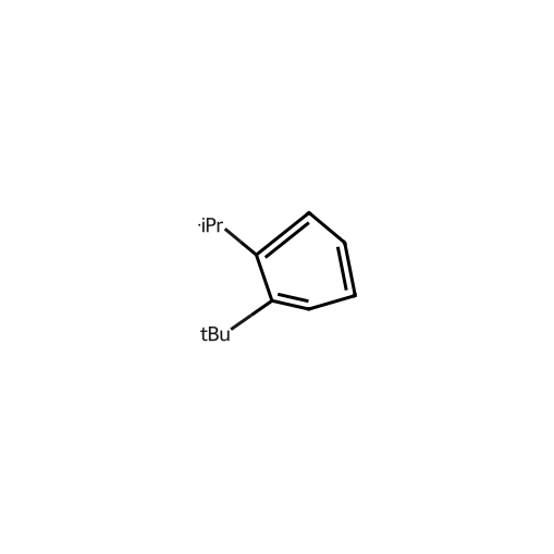 C[C](C)c1ccccc1C(C)(C)C